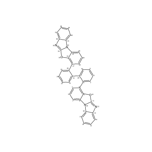 c1ccc(-c2cccc3c2oc2nc4ccccc4n23)c(-c2ccccc2-c2cccc3c2oc2nc4ccccc4n23)c1